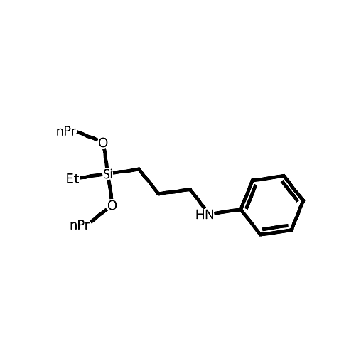 CCCO[Si](CC)(CCCNc1ccccc1)OCCC